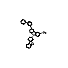 CC(C)(C)c1ccc2c(c1)c1cc(-c3cccc(-c4ccccc4)c3)ccc1n2-c1ccc2c(c1)oc1ccccc12